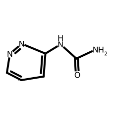 NC(=O)Nc1c[c]cnn1